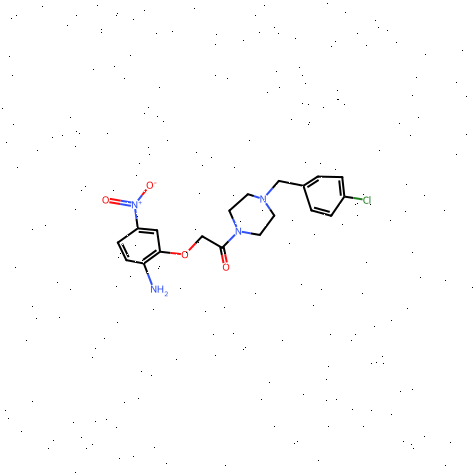 Nc1ccc([N+](=O)[O-])cc1OCC(=O)N1CCN(Cc2ccc(Cl)cc2)CC1